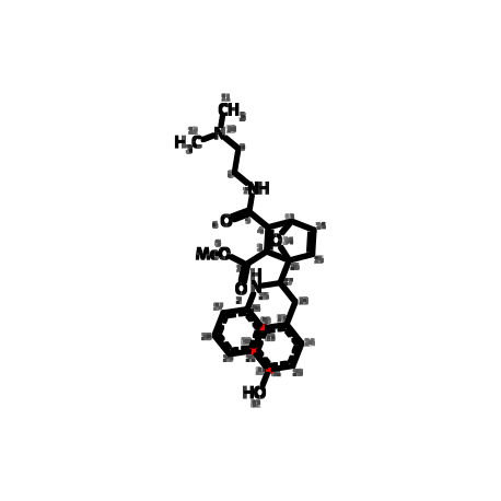 COC(=O)C1=C(C(=O)NCCN(C)C)C2C=CC1(C(Cc1ccccc1)Nc1cccc(CO)c1)O2